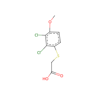 COc1ccc(SCC(=O)O)c(Cl)c1Cl